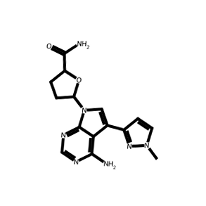 Cn1ccc(-c2cn(C3CCC(C(N)=O)O3)c3ncnc(N)c23)n1